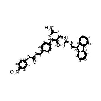 NC(=O)C[C@H](NC(=O)OCC1c2ccccc2-c2ccccc21)C(=O)Nc1ccc(COC(=O)Oc2ccc([N+](=O)[O-])cc2)cc1